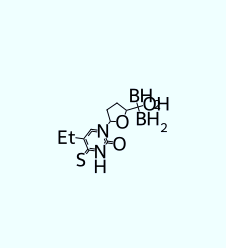 BC(B)(O)C1CCC(n2cc(CC)c(=S)[nH]c2=O)O1